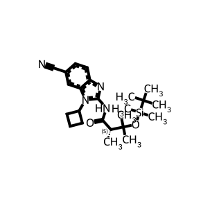 C[C@H](C(=O)Nc1nc2ccc(C#N)cc2n1C1CCC1)C(C)(C)O[Si](C)(C)C(C)(C)C